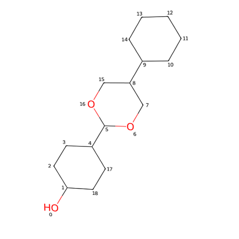 OC1CCC(C2OCC(C3CCCCC3)CO2)CC1